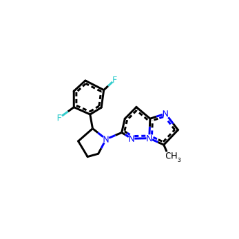 Cc1cnc2ccc(N3CCCC3c3cc(F)ccc3F)nn12